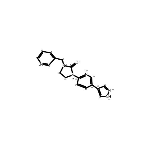 O=C1N(Cc2cccnc2)CCN1c1ccc(-c2cn[nH]c2)cn1